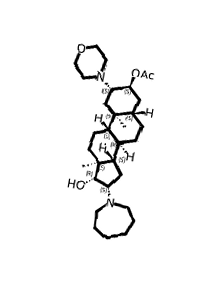 CC(=O)O[C@H]1C[C@@H]2CC[C@@H]3[C@H](CC[C@]4(C)[C@@H](O)[C@@H](N5CCCCCC5)C[C@@H]34)[C@@]2(C)C[C@@H]1N1CCOCC1